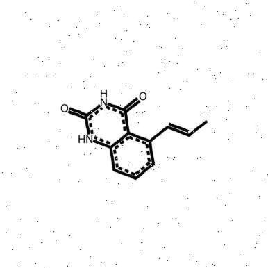 CC=Cc1cccc2[nH]c(=O)[nH]c(=O)c12